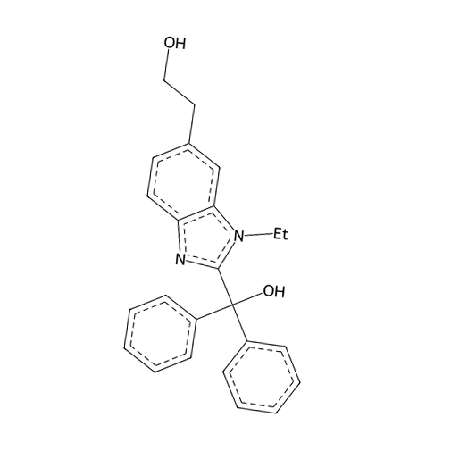 CCn1c(C(O)(c2ccccc2)c2ccccc2)nc2ccc(CCO)cc21